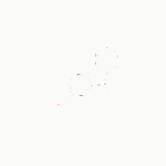 O=C1c2ccccc2-c2ccc(B(O)O)cc21